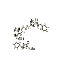 CC(NC(=O)OC(C)(C)C)c1cccc(CC(O)NC2=CC=C(CCCCc3nnc(NC(=O)Cc4ccccc4)s3)NN2)c1